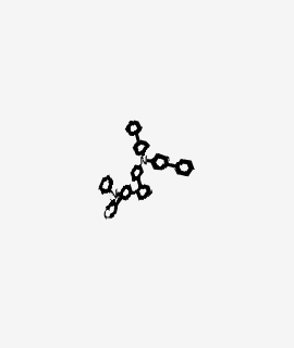 c1ccc(-c2ccc(N(c3ccc(-c4ccccc4)cc3)c3cccc(-c4ccccc4-c4ccc5c(c4)c4ccccc4n5-c4ccccc4)c3)cc2)cc1